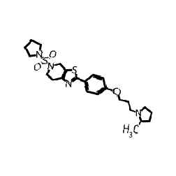 C[C@@H]1CCCN1CCCOc1ccc(-c2nc3c(s2)CN(S(=O)(=O)N2CCCC2)CC3)cc1